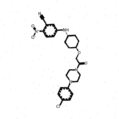 N#Cc1cc(N[C@H]2CC[C@H](OCC(=O)N3CCN(c4ccc(Cl)cc4)CC3)CC2)ccc1[N+](=O)[O-]